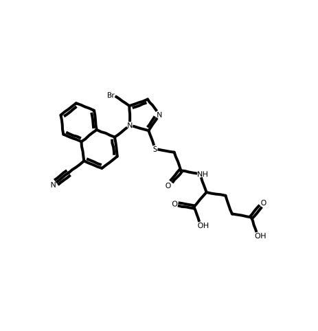 N#Cc1ccc(-n2c(Br)cnc2SCC(=O)NC(CCC(=O)O)C(=O)O)c2ccccc12